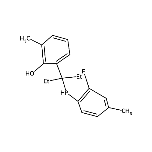 CCC(CC)(Pc1ccc(C)cc1F)c1cccc(C)c1O